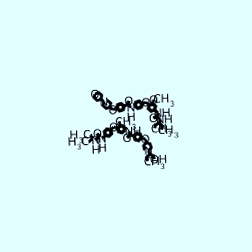 CCC(CC)NC(=O)Nc1ccc(Oc2ccc(NC(=O)c3ccc(OC4CCN(C(CC)CO)CC4)cc3)cc2C)cc1.CCC(CC)NC(=O)Nc1ccc(Oc2ccc(NC(=O)c3ccc(OC4CCN(C5CCOCC5)CC4)cc3)cc2)c(OC)c1